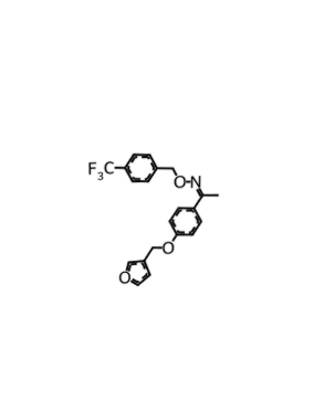 CC(=NOCc1ccc(C(F)(F)F)cc1)c1ccc(OCc2ccoc2)cc1